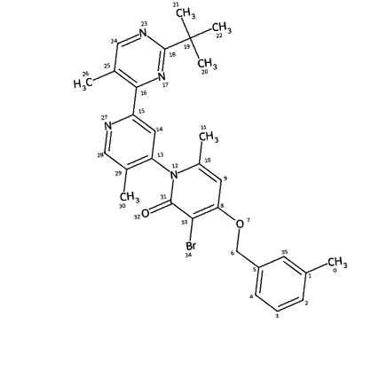 Cc1cccc(COc2cc(C)n(-c3cc(-c4nc(C(C)(C)C)ncc4C)ncc3C)c(=O)c2Br)c1